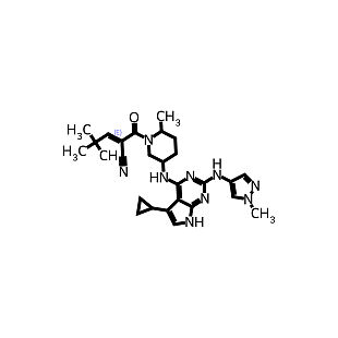 CC1CCC(Nc2nc(Nc3cnn(C)c3)nc3[nH]cc(C4CC4)c23)CN1C(=O)/C(C#N)=C/C(C)(C)C